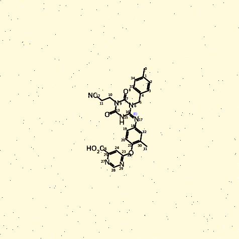 Cc1ccc(Cn2c(=O)n(CCC#N)c(=O)[nH]/c2=N\c2ccc(Oc3cc(C(=O)O)ncn3)c(C)c2)cc1